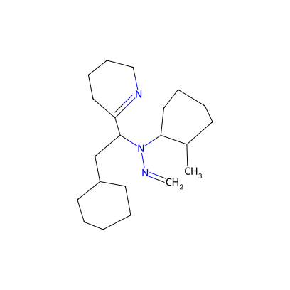 C=NN(C(CC1CCCCC1)C1=NCCCC1)C1CCCCC1C